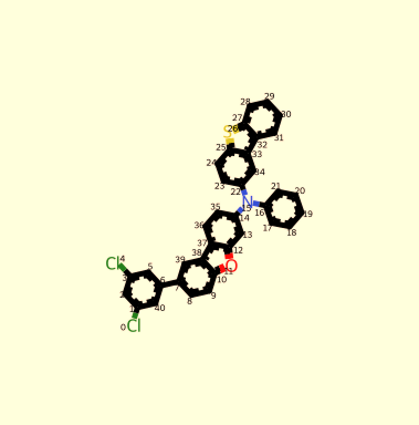 Clc1cc(Cl)cc(-c2ccc3oc4cc(N(c5ccccc5)c5ccc6sc7ccccc7c6c5)ccc4c3c2)c1